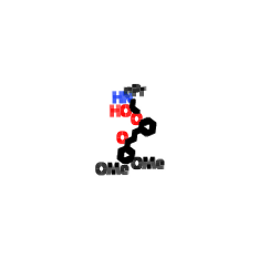 CCCNCC(O)COc1ccccc1CCC(=O)c1ccc(OC)c(OC)c1